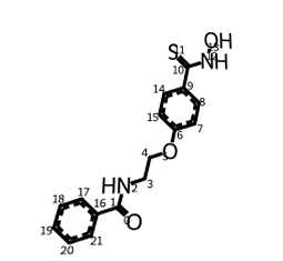 O=C(NCCOc1ccc(C(=S)NO)cc1)c1ccccc1